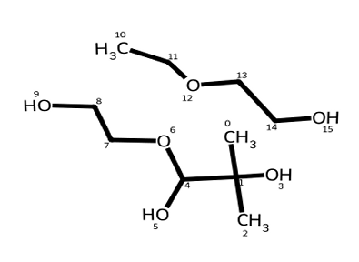 CC(C)(O)C(O)OCCO.CCOCCO